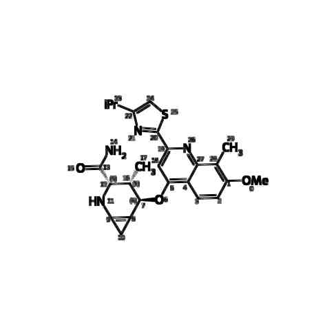 COc1ccc2c(O[C@H]3C4=C(C4)N[C@H](C(N)=O)[C@@H]3C)cc(-c3nc(C(C)C)cs3)nc2c1C